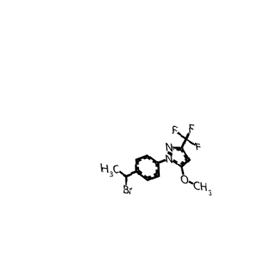 COc1cc(C(F)(F)F)nn1-c1ccc(C(C)Br)cc1